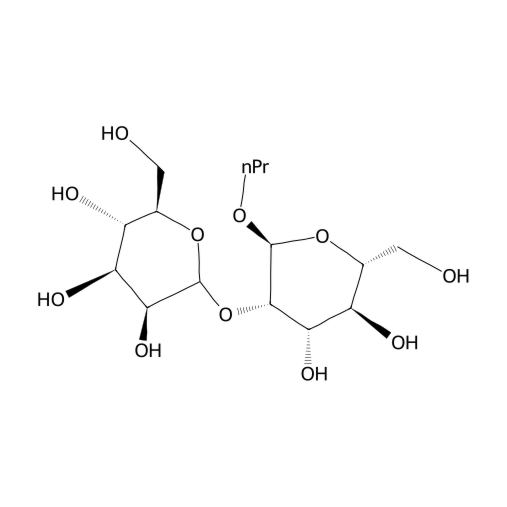 CCCO[C@H]1O[C@H](CO)[C@@H](O)[C@H](O)[C@@H]1OC1O[C@H](CO)[C@@H](O)[C@H](O)[C@@H]1O